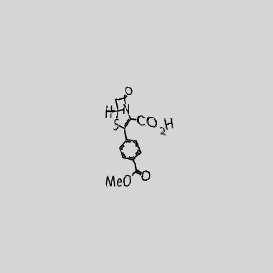 COC(=O)c1ccc(C2=C(C(=O)O)N3C(=O)C[C@H]3S2)cc1